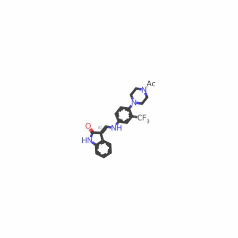 CC(=O)N1CCN(c2ccc(N/C=C3/C(=O)Nc4ccccc43)cc2C(F)(F)F)CC1